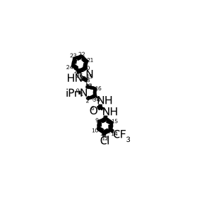 CC(C)N1C[C@H](NC(=O)Nc2ccc(Cl)c(C(F)(F)F)c2)C[C@H]1c1nc2ccccc2[nH]1